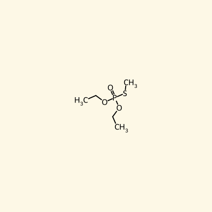 CCOP(=O)(OCC)SC